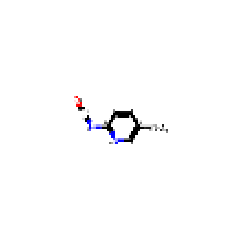 O=C=Nc1ccc([N+](=O)[O-])cn1